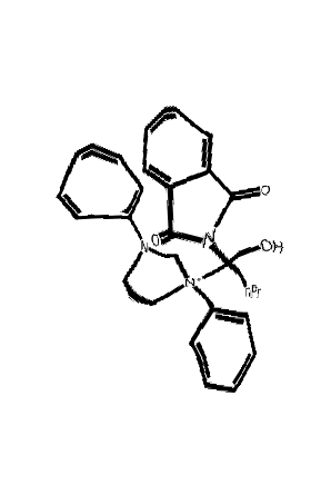 CCCC(O)(N1C(=O)c2ccccc2C1=O)[N+]1(c2ccccc2)CCN(c2ccccc2)C1